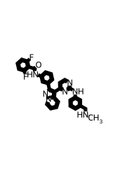 CNCc1cccc(Nc2nccc(-c3c(-c4cccc(NC(=O)c5c(F)cccc5F)c4)nn4ccccc34)n2)c1